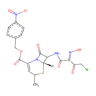 CC1C=C(C(=O)OCc2ccc([N+](=O)[O-])cc2)N2C(=O)C(NC(=O)C(=NO)C(=O)CBr)[C@@H]2S1